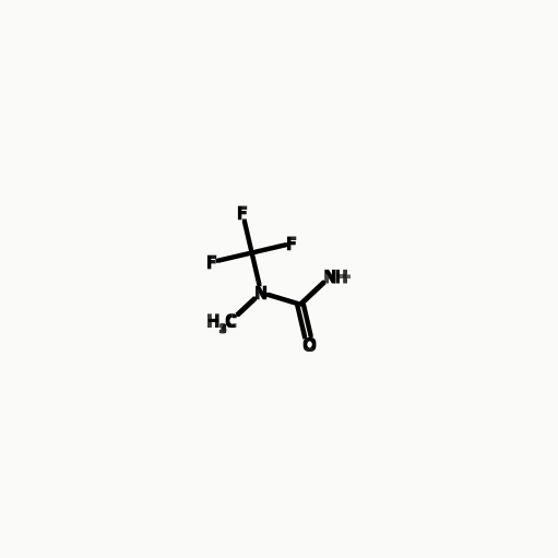 CN(C([NH])=O)C(F)(F)F